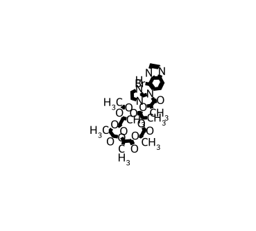 CC(=O)OC(C)C(=O)OC(C)C(=O)OC(C)C(=O)OC(C)C(=O)OC(C)C(=O)OC(C)C(=O)N(C1=NCCN1)c1ccc2nccnc2c1Br